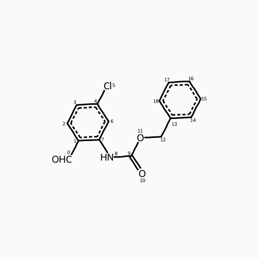 O=Cc1ccc(Cl)cc1NC(=O)OCc1ccccc1